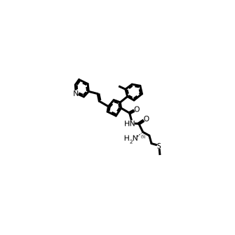 CSCC[C@H](N)C(=O)NC(=O)c1ccc(C=Cc2cccnc2)cc1-c1ccccc1C